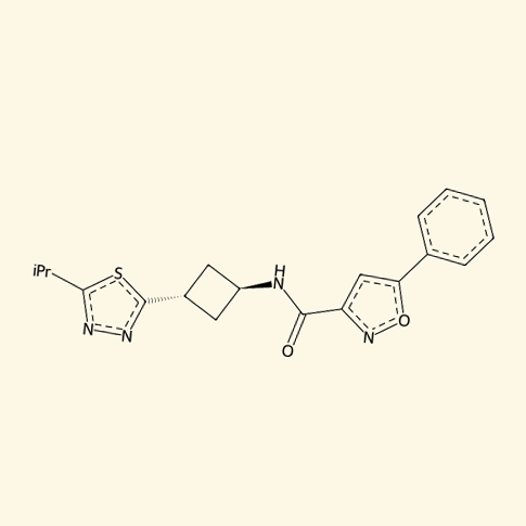 CC(C)c1nnc([C@H]2C[C@H](NC(=O)c3cc(-c4ccccc4)on3)C2)s1